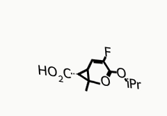 CC(C)OC(=O)/C(F)=C\C1[C@@H](C(=O)O)C1(C)C